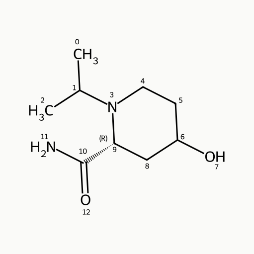 CC(C)N1CCC(O)C[C@@H]1C(N)=O